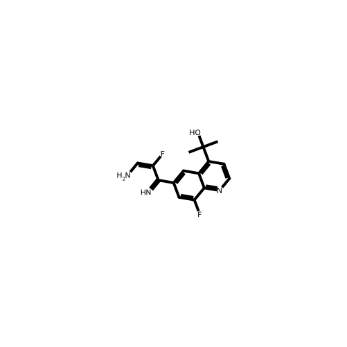 CC(C)(O)c1ccnc2c(F)cc(C(=N)/C(F)=C\N)cc12